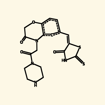 O=C1NC(=S)SC1=Cc1ccc2c(c1)N(CC(=O)N1CCNCC1)C(=O)CO2